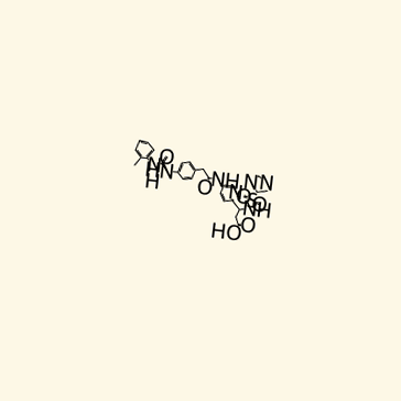 Cc1ccccc1NC(=O)Nc1ccc(CC(=O)Nc2ccc(C(CC(=O)O)NS(=O)(=O)C3CN(C)C=N3)nc2)cc1